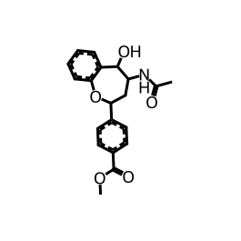 COC(=O)c1ccc(C2CC(NC(C)=O)C(O)c3ccccc3O2)cc1